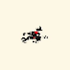 CC(=O)Oc1cc(O)c2c3c1C[C@@H]1[C@@H]4CC[C@@H](N(CC(C)C)C(=O)/C=C/c5ccoc5)[C@H](O2)[C@]34CCN1CC1CC1